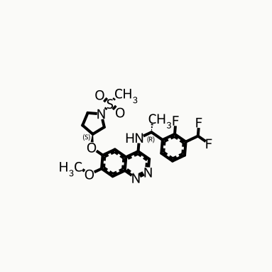 COc1cc2nncc(N[C@H](C)c3cccc(C(F)F)c3F)c2cc1O[C@H]1CCN(S(C)(=O)=O)C1